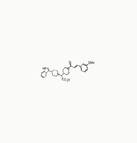 COc1cccc(C=CC(=O)N2CCC(C(C(=O)O)N3CCC(c4c[nH]c5ccccc45)CC3)CC2)c1